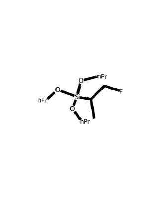 CCCO[Si](OCCC)(OCCC)C(C)CF